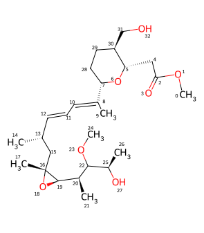 COC(=O)C[C@@H]1O[C@H](/C(C)=C/C=C/[C@@H](C)C[C@@]2(C)O[C@@H]2[C@H](C)C(OC)[C@@H](C)O)CC[C@H]1CO